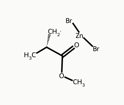 [Br][Zn][Br].[CH2][C@@H](C)C(=O)OC